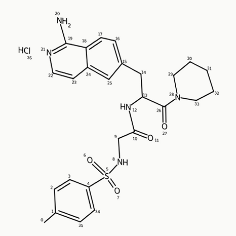 Cc1ccc(S(=O)(=O)NCC(=O)NC(Cc2ccc3c(N)nccc3c2)C(=O)N2CCCCC2)cc1.Cl